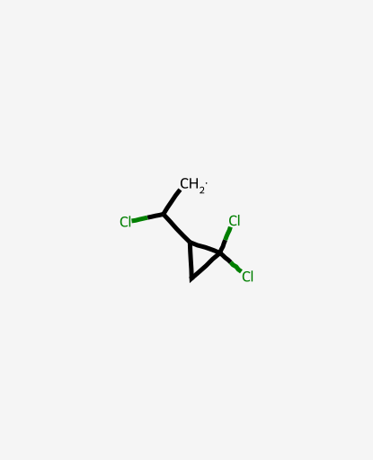 [CH2]C(Cl)C1CC1(Cl)Cl